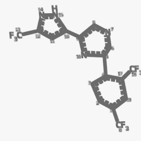 FC(F)(F)c1ccc(-c2cncc(-c3cc(C(F)(F)F)n[nH]3)n2)c(C(F)(F)F)c1